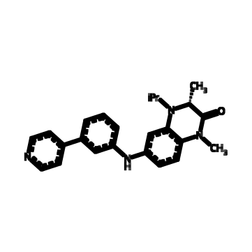 CC(C)N1c2cc(Nc3cccc(-c4ccncc4)c3)ccc2N(C)C(=O)[C@H]1C